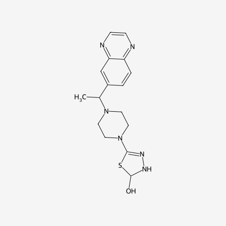 CC(c1ccc2nccnc2c1)N1CCN(C2=NNC(O)S2)CC1